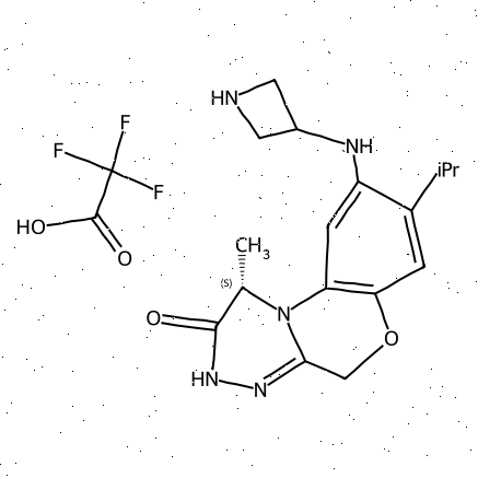 CC(C)c1cc2c(cc1NC1CNC1)N1C(=NNC(=O)[C@@H]1C)CO2.O=C(O)C(F)(F)F